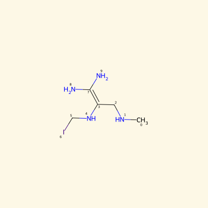 CNCC(NCI)=C(N)N